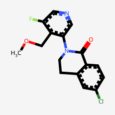 COCc1c(F)cncc1N1CCc2cc(Cl)ccc2C1=O